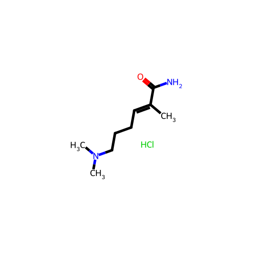 C/C(=C\CCCN(C)C)C(N)=O.Cl